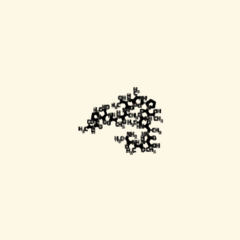 C[C@H](N)C(=O)N[C@@H](C)C(=O)N[C@H](C(=O)N[C@@H](C)C(=O)N[C@@H](C)C(=O)N[C@H](C(=O)N1CCC[C@H]1C(=O)N[C@@H](C)C(=O)N[C@H](C(=O)N[C@@H](C)C(=O)N[C@@H](C)C(=O)N[C@H](C(=O)N1CCC[C@H]1C(=O)N[C@@H](C)C(=O)O)[C@@H](C)O)[C@@H](C)O)[C@@H](C)O)[C@@H](C)O